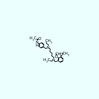 CCCN(CCCCCN(CC)Cc1cccc(OC)c1OC)Cc1ccc(NC(C)=O)cc1